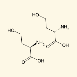 N[C@@H](CCO)C(=O)O.N[C@H](CCO)C(=O)O